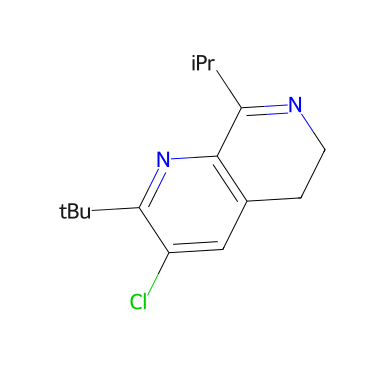 CC(C)C1=NCCc2cc(Cl)c(C(C)(C)C)nc21